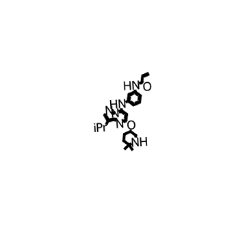 C=CC(=O)Nc1cccc(Nc2cc(O[C@@H]3CCC(C)(C)NC3)nc3c(C(C)C)cnn23)c1